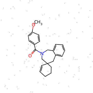 COc1ccc(C(=O)N2Cc3ccccc3CC3(C=CCCC3)C2)cc1